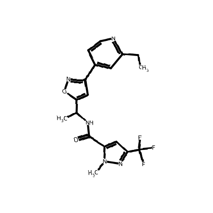 CCc1cc(-c2cc(C(C)NC(=O)c3cc(C(F)(F)F)nn3C)on2)ccn1